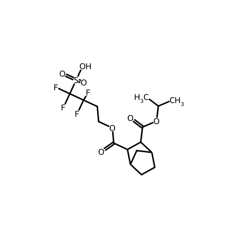 CC(C)OC(=O)C1C2CCC(C2)C1C(=O)OCCC(F)(F)C(F)(F)S(=O)(=O)O